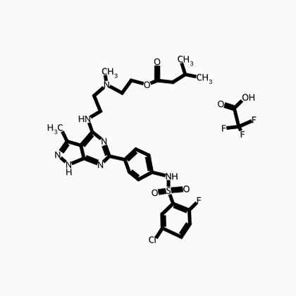 Cc1n[nH]c2nc(-c3ccc(NS(=O)(=O)c4cc(Cl)ccc4F)cc3)nc(NCCN(C)CCOC(=O)CC(C)C)c12.O=C(O)C(F)(F)F